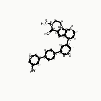 CC(C)c1cncc(-c2ccc(-c3cncc(-c4ccnc5c4cc4n5CCN(C)C4=O)c3)cc2)c1